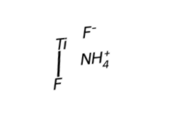 [F-].[F][Ti].[NH4+]